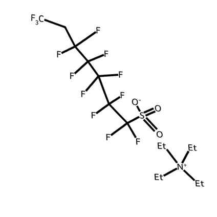 CC[N+](CC)(CC)CC.O=S(=O)([O-])C(F)(F)C(F)(F)C(F)(F)C(F)(F)C(F)(F)CC(F)(F)F